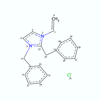 C=Cn1cc[n+](Cc2ccccc2)c1Cc1ccccc1.[Cl-]